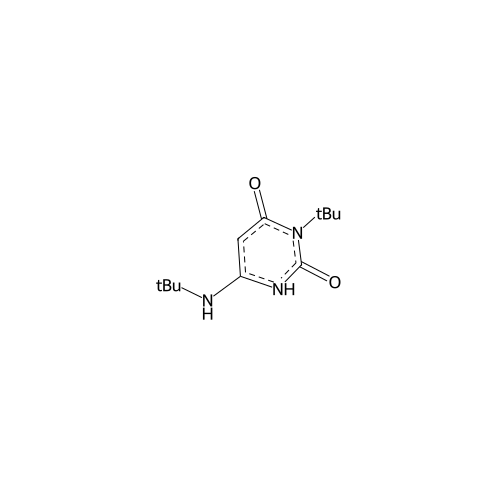 CC(C)(C)Nc1cc(=O)n(C(C)(C)C)c(=O)[nH]1